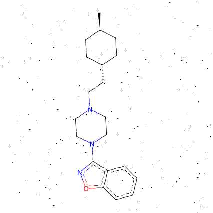 C[C@H]1CC[C@H](CCN2CCN(c3noc4ccccc34)CC2)CC1